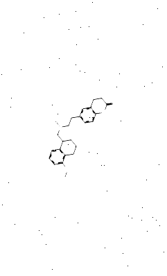 COc1cccc2c1CCCC2CN(C)CCc1ccc2c(c1)CCC(=O)S2